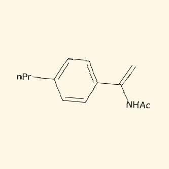 C=C(NC(C)=O)c1ccc(CCC)cc1